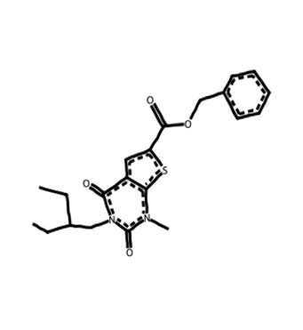 CCC(CC)Cn1c(=O)c2cc(C(=O)OCc3ccccc3)sc2n(C)c1=O